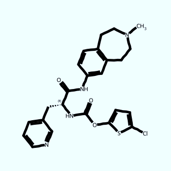 CN1CCc2ccc(NC(=O)[C@@H](Cc3cccnc3)NC(=O)Oc3ccc(Cl)s3)cc2CC1